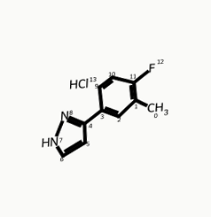 Cc1cc(-c2cc[nH]n2)ccc1F.Cl